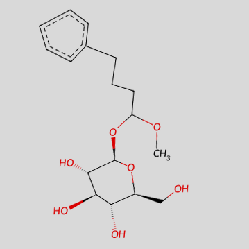 COC(CCCc1ccccc1)O[C@H]1O[C@@H](CO)[C@H](O)[C@@H](O)[C@@H]1O